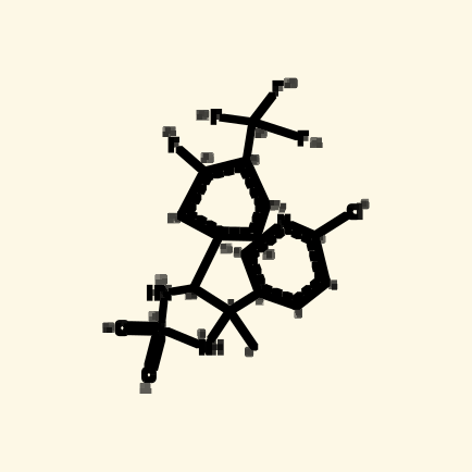 CC1(c2ccc(Cl)nc2)NS(=O)(=O)NC1c1ccc(C(F)(F)F)c(F)c1